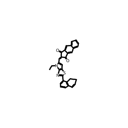 CCn1c(C=C2C(=O)c3cc4ccccc4cc3C2=O)cc2sc(-c3cccc4c3CCC=C4)nc21